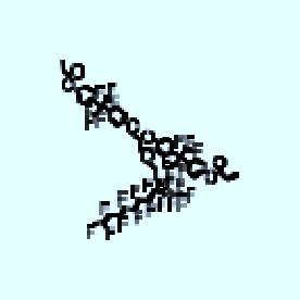 C=CC(=O)Oc1ccc(C(c2ccc(OCC(COCCCOC(F)(/C(F)=C(F)/C(F)=C(F)/C(F)=C(F)/C(F)=C(\F)CF)C(F)(F)C(F)(F)F)Oc3ccc(C(c4ccc(OC(=O)C=C)cc4)(C(F)(F)F)C(F)(F)F)cc3)cc2)(C(F)(F)F)C(F)(F)F)cc1